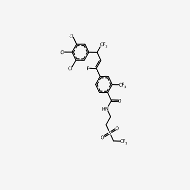 O=C(NCCS(=O)(=O)CC(F)(F)F)c1ccc(C(F)=CC(c2cc(Cl)c(Cl)c(Cl)c2)C(F)(F)F)cc1C(F)(F)F